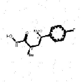 CCCC[C@H](C[C@@H](OC)c1ccc(F)cc1)C(=O)NO